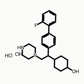 Cl.Cl.OC1CCC(C(CN2CCNCC2)c2ccc(-c3ccccc3F)cc2)CC1